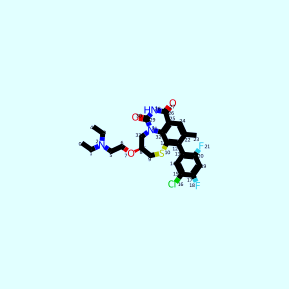 CCN(CC)CCO[C@@H]1CSc2c(-c3cc(Cl)c(F)cc3F)c(C)cc3c(=O)[nH]c(=O)n(c23)C1